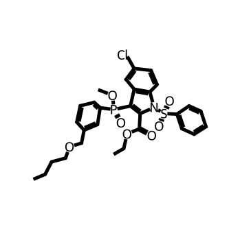 CCCCOCc1cccc(P(=O)(OC)c2c(C(=O)OCC)n(S(=O)(=O)c3ccccc3)c3ccc(Cl)cc23)c1